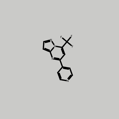 FC(F)(F)c1cc(-c2ccncc2)nc2ccnn12